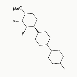 COC1CC[C@@H](C2CCC(C3CCC(C)CC3)CC2)C(F)C1F